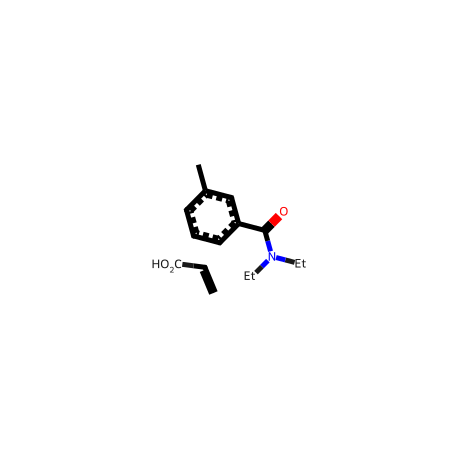 C=CC(=O)O.CCN(CC)C(=O)c1cccc(C)c1